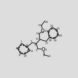 CCOCC(Cc1ccccc1)C(COCC)Cc1ccccc1